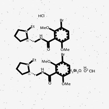 CCN1CCC[C@H]1CNC(=O)c1c(OC)ccc(Br)c1OC.CCN1CCC[C@H]1CNC(=O)c1c(OC)ccc(Br)c1OC.Cl.Cl.O.O.O